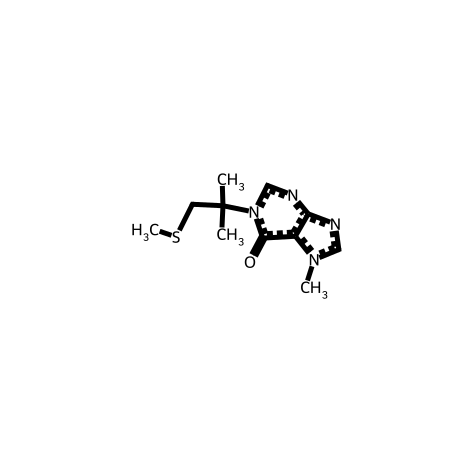 CSCC(C)(C)n1cnc2ncn(C)c2c1=O